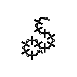 C[Si](C)(CN)O[Si](C)(C)O[Si](C)(C)O[Si](C)(C)O[Si](C)(C)O[Si](C)(C)O[Si](C)(C)O[Si](C)(C)O[Si](C)(C)O[Si](C)(C)O[Si](C)(C)CN